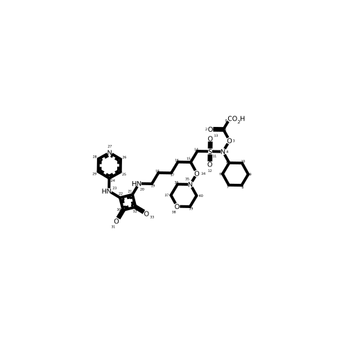 O=C(O)C(=O)ON(C1CCCCC1)S(=O)(=O)CC(CCCCNc1c(Nc2ccncc2)c(=O)c1=O)ON1CCOCC1